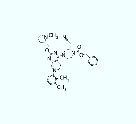 Cc1cccc(N2CCc3c(nc(OC[C@@H]4CCCN4C)nc3N3CCN(C(=O)OCc4ccccc4)[C@@H](CC#N)C3)C2)c1C